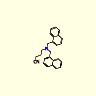 N#CCCCN(Cc1cccc2ccccc12)Cc1cccc2ccccc12